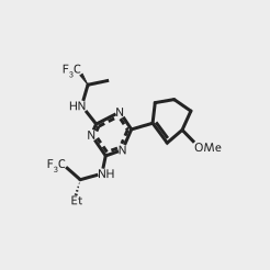 CC[C@@H](Nc1nc(N[C@H](C)C(F)(F)F)nc(C2=CC(OC)CCC2)n1)C(F)(F)F